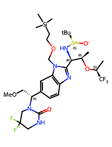 COC[C@H](c1ccc2nc([C@@H](N[S@+]([O-])C(C)(C)C)[C@@H](C)O[C@@H](C)C(F)(F)F)n(COCC[Si](C)(C)C)c2c1)N1CC(F)(F)CNC1=O